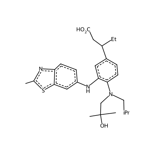 CCC(CC(=O)O)c1ccc(N(CC(C)C)CC(C)(C)O)c(Nc2ccc3nc(C)sc3c2)c1